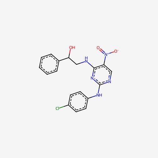 O=[N+]([O-])c1cnc(Nc2ccc(Cl)cc2)nc1NCC(O)c1ccccc1